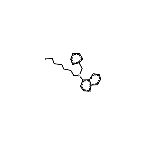 ICCCCCCN(Cc1ccccc1)c1ccnc2ccccc12